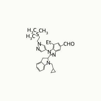 CCc1cc(C=O)cc2nc(C3Cc4ccccc4N3CC3CC3)n(-c3cnn(CCS(C)(C)C)c3)c12